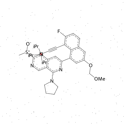 COCOc1cc(-c2cc3nc([S+](C)[O-])ncc3c(N3CCCC3)n2)c2c(C#C[Si](C(C)C)(C(C)C)C(C)C)c(F)ccc2c1